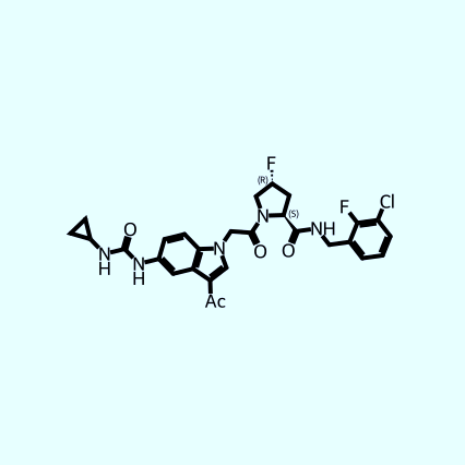 CC(=O)c1cn(CC(=O)N2C[C@H](F)C[C@H]2C(=O)NCc2cccc(Cl)c2F)c2ccc(NC(=O)NC3CC3)cc12